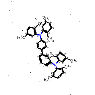 Cc1ccc(C)c(N(c2ccc(-c3cccc(N(c4cc(C)ccc4C)c4cc(C)ccc4C)c3)cc2)c2cc(C)ccc2C)c1